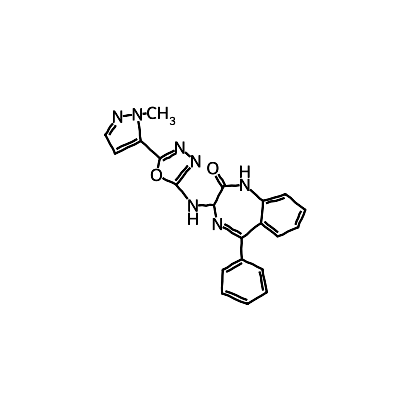 Cn1nccc1-c1nnc(NC2N=C(c3ccccc3)c3ccccc3NC2=O)o1